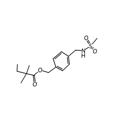 CCC(C)(C)C(=O)OCc1ccc(CNS(C)(=O)=O)cc1